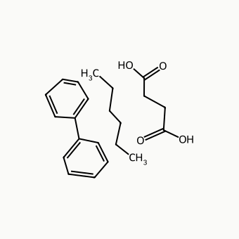 CCCCCC.O=C(O)CCC(=O)O.c1ccc(-c2ccccc2)cc1